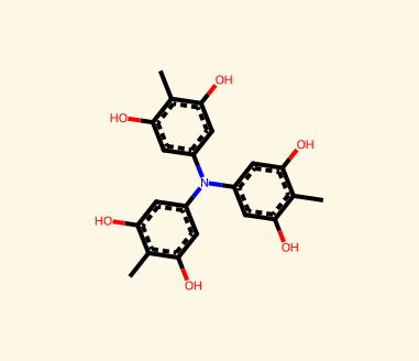 Cc1c(O)cc(N(c2cc(O)c(C)c(O)c2)c2cc(O)c(C)c(O)c2)cc1O